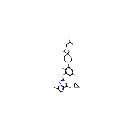 N#Cc1cc(Nc2nc(NC3CC3)c3ncc(C#N)n3n2)c(Cl)c(N2CCC3(CC2)CN(CC(N)=O)C3)c1